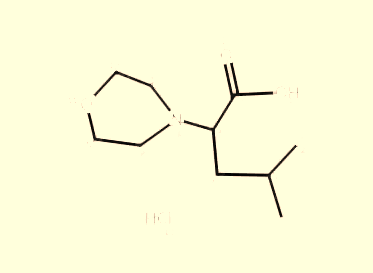 CC(C)CC(C(=O)O)N1CCOCC1.Cl